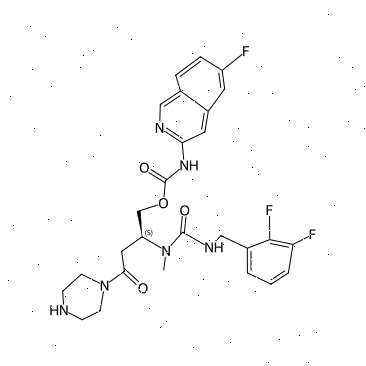 CN(C(=O)NCc1cccc(F)c1F)[C@H](COC(=O)Nc1cc2cc(F)ccc2cn1)CC(=O)N1CCNCC1